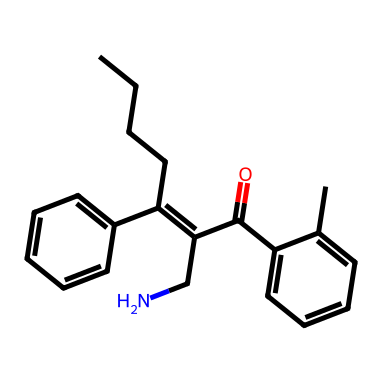 CCCC/C(=C(/CN)C(=O)c1ccccc1C)c1ccccc1